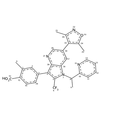 Cc1cc(-c2c(C(F)(F)F)n(C(C)c3ccccn3)c3cc(-c4c(C)noc4C)cnc23)ccc1C(=O)O